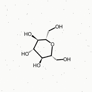 OC[C@@H]1O[C@H](CO)[C@@H](O)[C@H](O)[C@H]1O